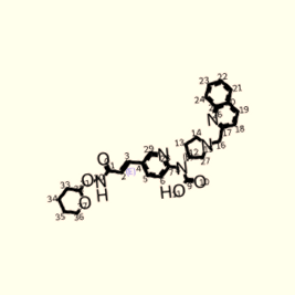 O=C(/C=C/c1ccc(N(C(=O)O)[C@@H]2CCN(Cc3ccc4ccccc4n3)C2)nc1)NOC1CCCCO1